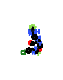 Fc1cnc(Cc2ccc(Cl)cc2)nc1OC1CCN(Cc2nc3cc(-c4nnc(C(F)(F)F)[nH]4)ccc3n2C[C@H]2CCOC2)CC1